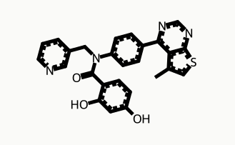 Cc1csc2ncnc(-c3ccc(N(Cc4cccnc4)C(=O)c4ccc(O)cc4O)cc3)c12